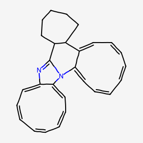 c1ccccc2c(ccc1)C1CCCCCC1c1nc3ccccccccc3n1-2